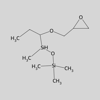 CCC(OCC1CO1)[SiH](C)O[Si](C)(C)C